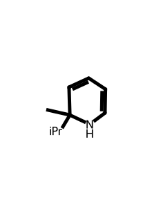 CC(C)C1(C)C=CC=CN1